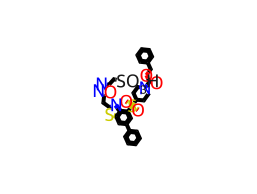 O=C(OCc1ccccc1)N1CCC(S(=O)(=O)c2cc(-c3ccccc3)cc3sc(Cc4nnc(CS(=O)(=O)O)o4)nc23)CC1